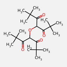 CC(C)(C)C(=O)C(OC(C(=O)C(C)(C)C)C(=O)C(C)(C)C)C(=O)C(C)(C)C